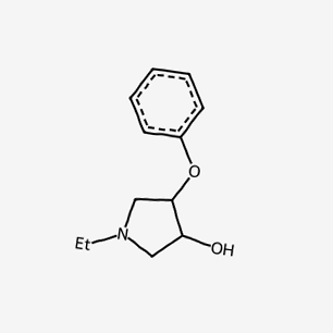 CCN1CC(O)C(Oc2ccccc2)C1